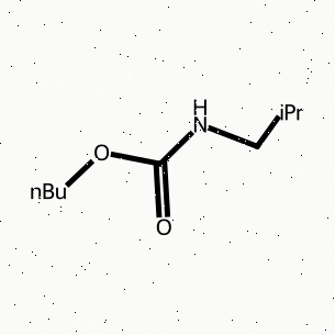 CCCCOC(=O)NCC(C)C